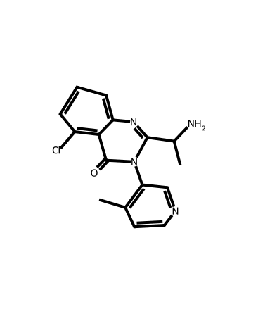 Cc1ccncc1-n1c(C(C)N)nc2cccc(Cl)c2c1=O